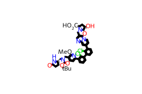 COc1nc(-c2cccc(-c3cccc(-c4ccn5c(=O)c(CN6C[C@@H](O)C[C@@H]6C(=O)O)cnc5c4)c3Cl)c2Cl)ccc1CN(C[C@@H]1CCC(=O)N1)C(=O)OC(C)(C)C